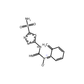 C=C1C=CC=C/C1=[N+](\[O-])C(=N)Nc1nnc(S(N)(=O)=O)s1